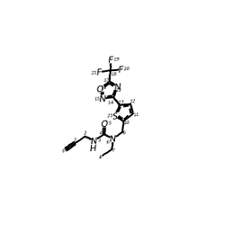 C#CCNC(=O)N(CC)Cc1ccc(-c2noc(C(F)(F)F)n2)s1